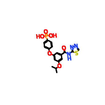 CC(C)Oc1cc(Oc2ccc(P(=O)(O)O)cc2)cc(C(=O)Nc2nncs2)c1